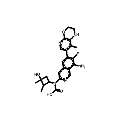 Cc1c(-c2cc3cc(N(C(=O)O)C4CC(C)(O)C4C)ncc3c(N)c2F)cnc2c1NCCO2